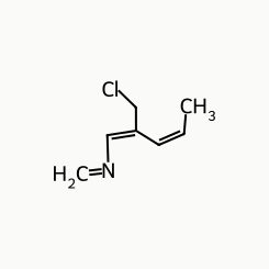 C=N/C=C(\C=C/C)CCl